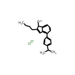 CCCCC1=Cc2c(-c3ccc(C(C)C)cc3)cccc2[CH]1[Zr+2].[Cl-].[Cl-]